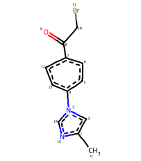 Cc1cn(-c2ccc(C(=O)CBr)cc2)cn1